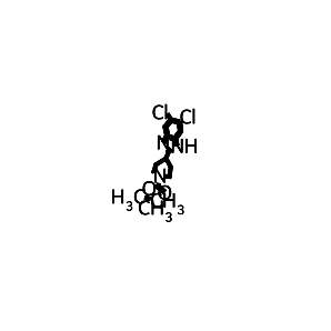 CC(C)(C)OC(=O)N1CCC(c2nc3cc(Cl)c(Cl)cc3[nH]2)CC1